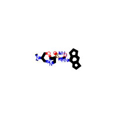 CN(C)C1COc2c(S(N)(=O)=NC(=O)Nc3c4c(cc5c3CCC5)CCC4)cnn2C1